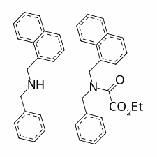 CCOC(=O)C(=O)N(Cc1ccccc1)Cc1cccc2ccccc12.c1ccc(CNCc2cccc3ccccc23)cc1